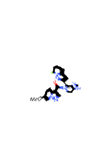 COc1ccc2c(C(=O)N3CCc4[nH]cnc4[C@@H]3c3cc4cccc(F)n4n3)cnn2c1